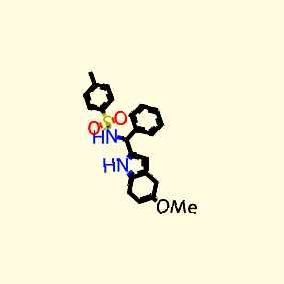 COC1=CCc2[nH]c(C(NS(=O)(=O)c3ccc(C)cc3)c3ccccc3)cc2C1